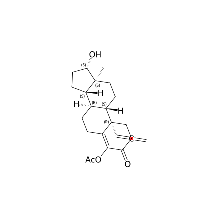 C=C=C[C@]12CCC(=O)C(OC(C)=O)=C1CC[C@H]1[C@@H]3CC[C@H](O)[C@@]3(C)CC[C@@H]12